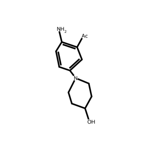 CC(=O)c1cc(N2CCC(O)CC2)ccc1N